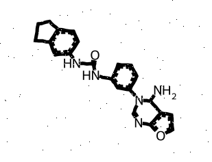 NC1c2ccoc2N=CN1c1cccc(NC(=O)Nc2ccc3c(c2)CCC3)c1